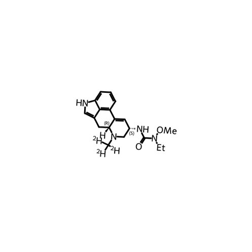 [2H]C([2H])([2H])N1C[C@@H](NC(=O)N(CC)OC)C=C2c3cccc4[nH]cc(c34)C[C@H]21